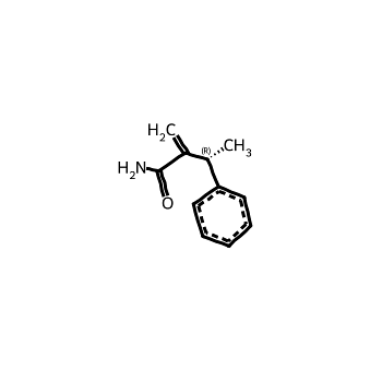 C=C(C(N)=O)[C@H](C)c1ccccc1